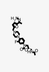 CC(=O)NC[C@H]1CN(c2ccc(N3CCN(Cc4ccc(/C(C)=N\N)o4)CC3)c(F)c2)C(=O)O1